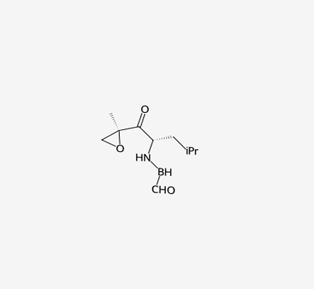 CC(C)C[C@H](NBC=O)C(=O)[C@]1(C)CO1